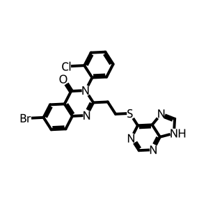 O=c1c2cc(Br)ccc2nc(CCSc2ncnc3[nH]cnc23)n1-c1ccccc1Cl